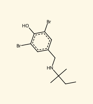 CCC(C)(C)NCc1cc(Br)c(O)c(Br)c1